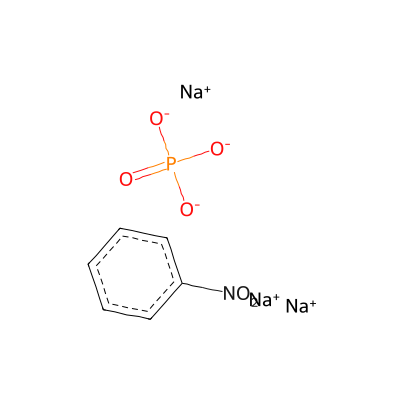 O=P([O-])([O-])[O-].O=[N+]([O-])c1ccccc1.[Na+].[Na+].[Na+]